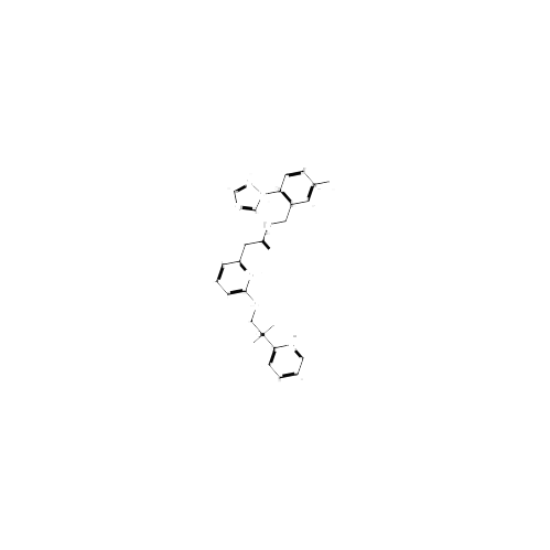 O=C(Cc1cccc(NCC(F)(F)c2ccccn2)n1)NCc1cc(Cl)ccc1-n1cncn1